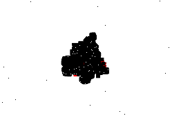 C=Cc1ccc(CC2(c3c(F)c(F)c(F)c(F)c3F)c3ccccc3-c3ccc(N(c4ccc5c(c4)C4(c6ccccc6-5)c5ccccc5-c5ccc(N6c7ccc8c(c7)C(Cc7ccc(C=C)cc7)(c7ccccc7-8)c7c(F)c(F)c(F)c(c7F)-c7cc6c6ccccc6c7)cc54)c4cccc5ccccc45)cc32)cc1